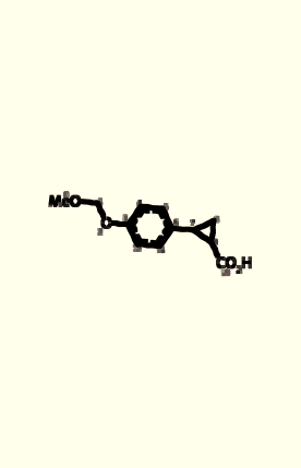 COCOc1ccc(C2CC2C(=O)O)cc1